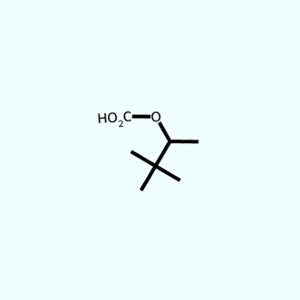 CC(OC(=O)O)C(C)(C)C